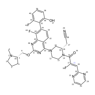 CN1CCC[C@H]1COc1nc(N2CCN(C(=O)/C(F)=C/c3ncccn3)[C@@H](CC#N)C2)c2ccc(-c3c(O)cccc3F)c(F)c2n1